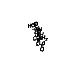 Cc1[nH]c(C=C2C(=O)Nc3c2cccc3N(N)c2cccc(C(=O)c3ccccc3)c2)c(C)c1C(=O)O